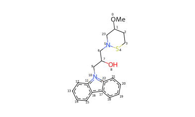 COC1CCSN(CC(O)Cn2c3ccccc3c3ccccc32)C1